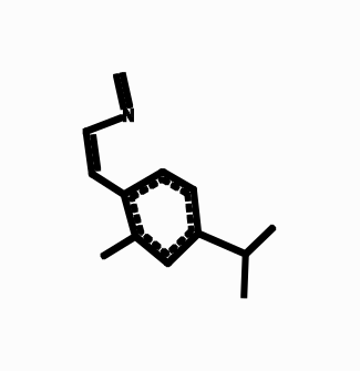 C=N/C=C\c1ccc(C(C)C)cc1C